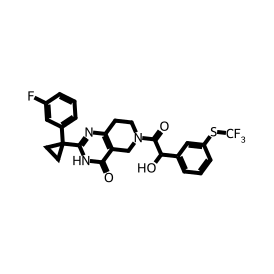 O=C(C(O)c1cccc(SC(F)(F)F)c1)N1CCc2nc(C3(c4cccc(F)c4)CC3)[nH]c(=O)c2C1